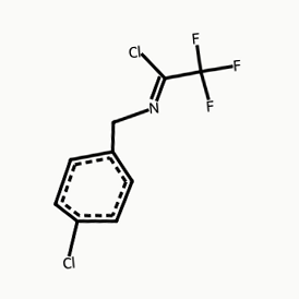 FC(F)(F)/C(Cl)=N/Cc1ccc(Cl)cc1